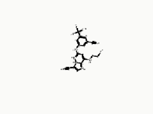 N#Cc1cc(Nc2cc(NCCF)c3ncc(C#N)n3n2)cc(C(F)(F)F)c1